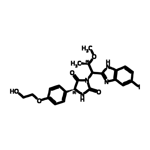 CO[C@H](C)C(c1nc2cc(I)ccc2[nH]1)N1C(=O)N[C@H](c2ccc(OCCO)cc2)C1=O